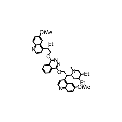 CCC1C[C@@H]([C@H](COc2nnc(OC[C@@H](CC)c3ccnc4ccc(OC)cc34)c3ccccc23)c2ccnc3ccc(OC)cc23)N(C)CC1CC